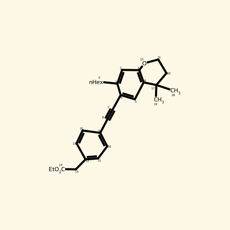 CCCCCCc1cc2c(cc1C#Cc1ccc(CC(=O)OCC)cc1)C(C)(C)CCO2